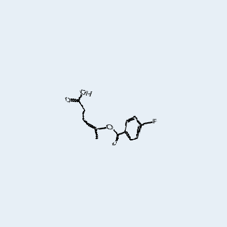 C/C(=C/CC(=O)O)OC(=O)c1ccc(F)cc1